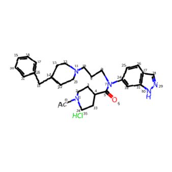 CC(=O)N1CCC(C(=O)N(CCCN2CCC(Cc3ccccc3)CC2)c2ccc3cn[nH]c3c2)CC1.Cl